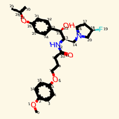 COc1ccc(OCCCC(=O)N[C@H](CN2CC[C@@H](F)C2)[C@H](O)c2ccc(OC(C)C)cc2)cc1